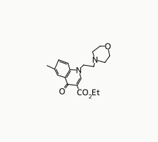 CCOC(=O)c1cn(CCN2CCOCC2)c2ccc(C)cc2c1=O